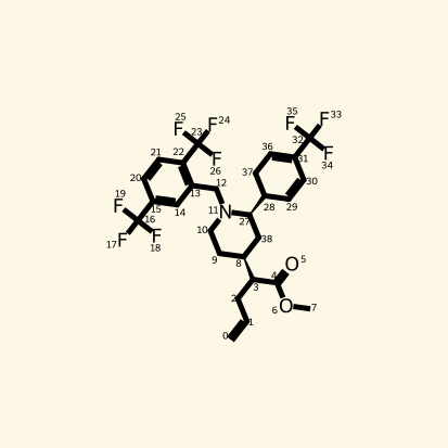 C=CCC(C(=O)OC)[C@H]1CCN(Cc2cc(C(F)(F)F)ccc2C(F)(F)F)[C@@H](C2C=CC(C(F)(F)F)=CC2)C1